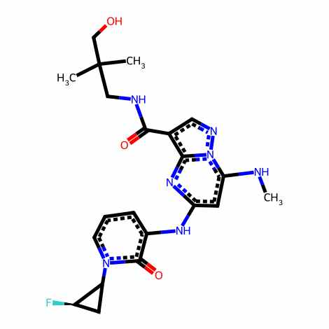 CNc1cc(Nc2cccn(C3C[C@H]3F)c2=O)nc2c(C(=O)NCC(C)(C)CO)cnn12